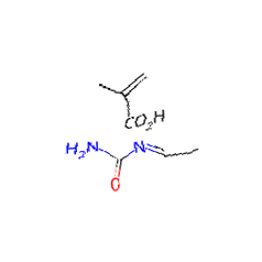 C=C(C)C(=O)O.CC=NC(N)=O